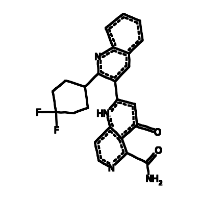 NC(=O)c1nccc2[nH]c(-c3cc4ccccc4nc3C3CCC(F)(F)CC3)cc(=O)c12